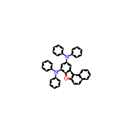 c1ccc(N(c2ccccc2)c2cc(N(c3ccccc3)c3ccccc3)c3oc4ccc5ccccc5c4c3c2)cc1